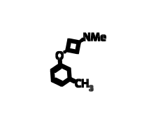 CN[C@H]1C[C@H](OC2=CC=CC(C)C2)C1